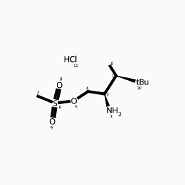 C[C@H]([C@@H](N)COS(C)(=O)=O)C(C)(C)C.Cl